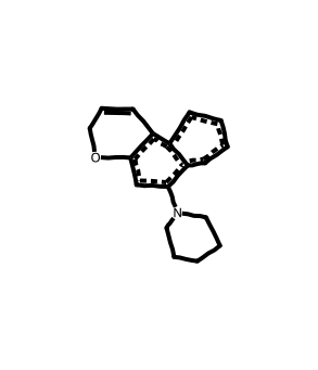 C1=Cc2c(cc(N3CCCCC3)c3ccccc23)OC1